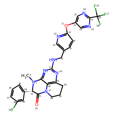 CN1c2nc(NCc3ccc(Oc4cnc(C(F)(F)F)nc4)nc3)nc3c2N(CCC3)C(=O)[C@@H]1c1cccc(F)c1